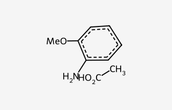 CC(=O)O.COc1ccccc1N